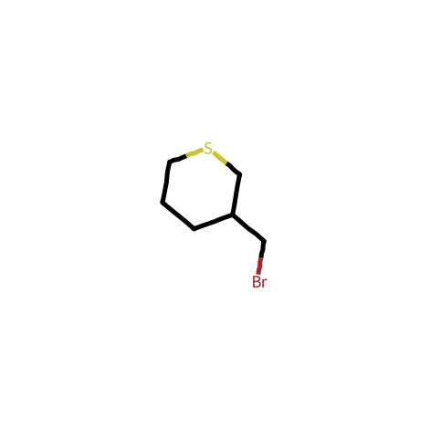 BrCC1CCCSC1